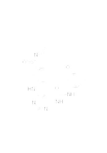 COc1cccc(NC(=O)Nc2cc(Nc3cccc([S+]([O-])N4CCCC4)c3)ncn2)c1